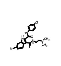 CN(C)CCNC(=O)c1c(C(=O)Nc2ccc(Cl)cc2)[nH]c2cc(Br)ccc12